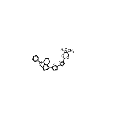 CC1(C)COC(c2ccc(-c3ccc(-c4ccc5c6c4CCCC6N(c4ccccc4)C5)s3)s2)OC1